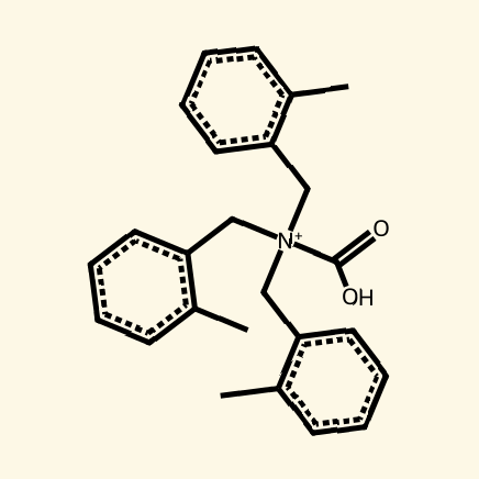 Cc1ccccc1C[N+](Cc1ccccc1C)(Cc1ccccc1C)C(=O)O